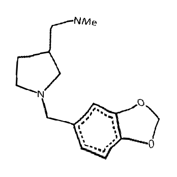 CNCC1CCN(Cc2ccc3c(c2)OCO3)C1